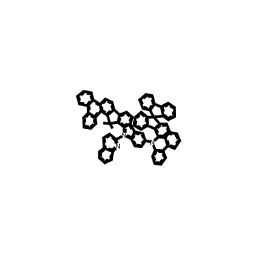 CC1(C)c2c(ccc3c4ccccc4c4ccccc4c23)-c2ccc3c4cc(N(c5ccccc5-c5ccccc5)c5cccc6c5-c5ccccc5C65c6ccccc6-c6ccccc65)ccc4n(-c4ccc5ccccc5n4)c3c21